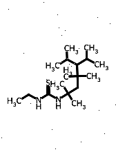 CCNC(=S)NC(C)(C)CC(C)(C)C(C(C)C)C(C)C